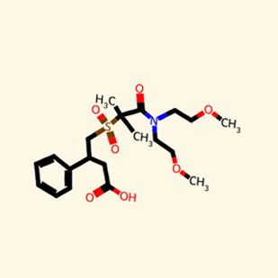 COCCN(CCOC)C(=O)C(C)(C)S(=O)(=O)CC(CC(=O)O)c1ccccc1